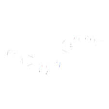 O=C(O)COc1ccc2c(c1)CCN(Cc1ccc(-c3ccc(C(F)(F)F)cc3)o1)CC2